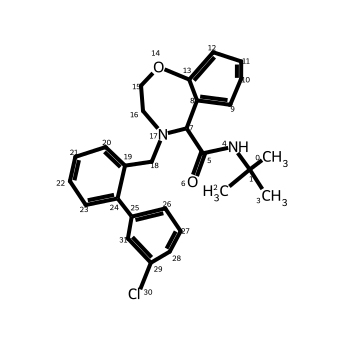 CC(C)(C)NC(=O)C1c2ccccc2OCCN1Cc1ccccc1-c1cccc(Cl)c1